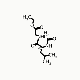 CCOC(=O)CNC(=O)[C@H](CC(C)C)NC(C)=O